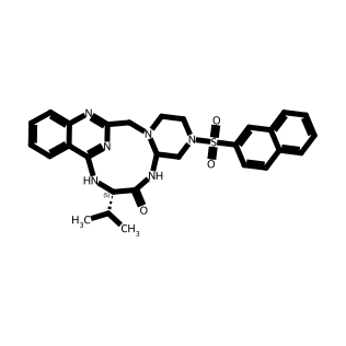 CC(C)[C@@H]1Nc2nc(nc3ccccc23)CN2CCN(S(=O)(=O)c3ccc4ccccc4c3)CC2NC1=O